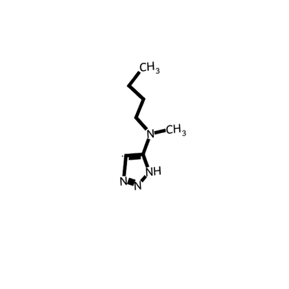 CCCCN(C)c1[c]nn[nH]1